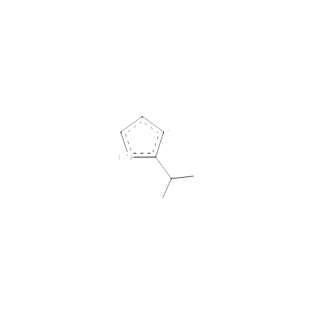 CCC([S])c1ccc[nH]1